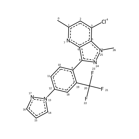 Cc1cc(Cl)c2c(n1)c(-c1ccc(-n3cccn3)cc1C(F)(F)F)nn2C